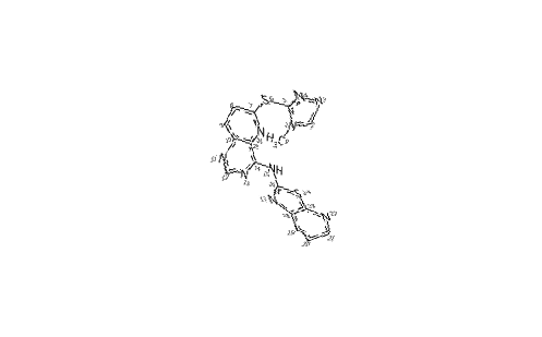 Cn1cnnc1Sc1ccc2ncnc(Nc3nc4cccnc4s3)c2n1